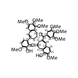 COc1ccc(C2=Cc3cc(OC)c(OC)c(OC)c3CCC2)c(O)c1O.COc1ccc2c(c1O)CCCC(C(=O)c1cc(OC)c(OC)c(OC)c1)=C2